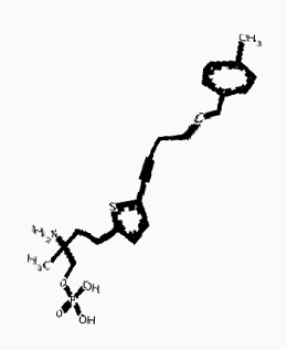 Cc1ccc(COCCC#Cc2ccc(CCC(C)(N)COP(=O)(O)O)s2)cc1